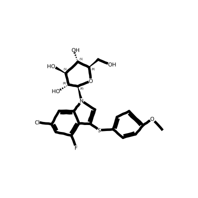 COc1ccc(Sc2cn([C@@H]3O[C@H](CO)[C@@H](O)[C@H](O)[C@H]3O)c3cc(Cl)cc(F)c23)cc1